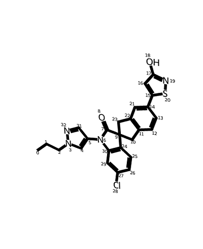 CCCn1cc(N2C(=O)C3(Cc4ccc(-c5cc(O)ns5)cc4C3)c3ccc(Cl)cc32)cn1